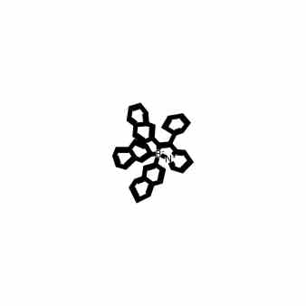 c1ccc(C2=C(c3ccc4ccccc4c3)[B-](c3ccc4ccccc4c3)(c3ccc4ccccc4c3)[n+]3ccccc32)cc1